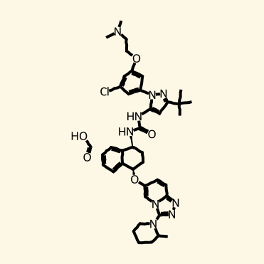 CC1CCCCN1c1nnc2ccc(O[C@@H]3CC[C@H](NC(=O)Nc4cc(C(C)(C)C)nn4-c4cc(Cl)cc(OCCN(C)C)c4)c4ccccc43)cn12.O=CO